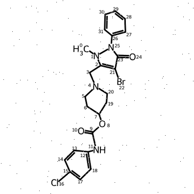 Cn1c(CN2CCC(OC(=O)Nc3ccc(Cl)cc3)CC2)c(Br)c(=O)n1-c1ccccc1